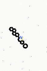 C1=CC=CCC=C1.C1=Cc2ccccc2SN=C1C1C=c2ccc3c(c2CC1)CC=c1ccccc1=3